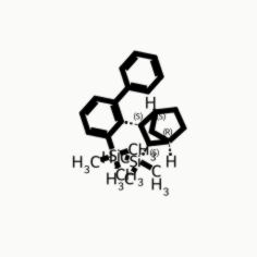 C[Si](C)(C)c1cccc(-c2ccccc2)c1[C@@H]1[C@H]2CC[C@H](C2)[C@@H]1[Si](C)(C)C